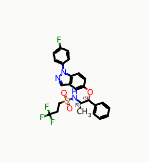 C[C@H](NS(=O)(=O)CCC(F)(F)F)[C@@H](Oc1ccc2c(cnn2-c2ccc(F)cc2)c1)c1ccccc1